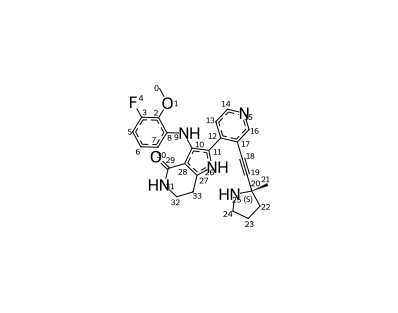 COc1c(F)cccc1Nc1c(-c2ccncc2C#C[C@]2(C)CCCN2)[nH]c2c1C(=O)NCC2